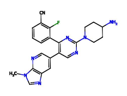 Cn1cnc2cc(-c3cnc(N4CCC(N)CC4)nc3-c3cccc(C#N)c3F)cnc21